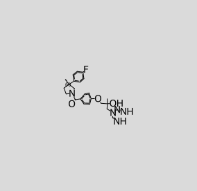 CC(O)(COc1ccc(C(=O)N2CC[C@](C)(c3ccc(F)cc3)C2)cc1)CN(C=N)N=N